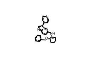 c1ccc(CO[C@@H]2CCCC[C@H]2Nc2ccc3ncc(-c4ccncc4)n3n2)cc1